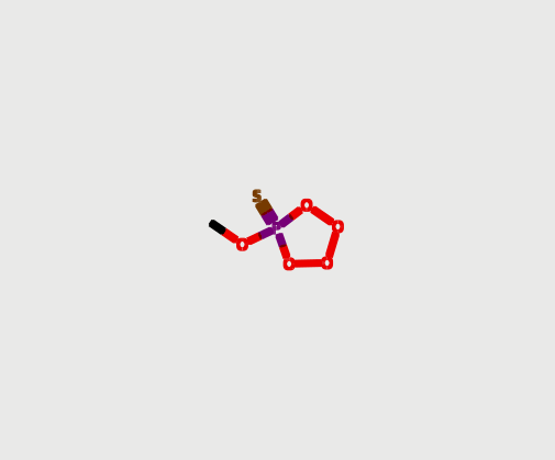 COP1(=S)OOOO1